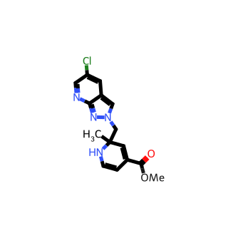 COC(=O)C1=CC(C)(Cn2cc3cc(Cl)cnc3n2)NC=C1